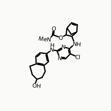 CNC(=O)OC1C2C=CC(C2)C1Nc1nc(Nc2ccc3c(c2)CCC(O)CC3)ncc1Cl